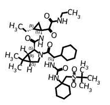 CCNC(=O)C(=O)[C@]1(NC(=O)[C@@H]2[C@@H]3[C@H](CN2C(=O)[C@@H](NC(=O)NC2(CS(=O)(=O)C(C)(C)C)CCCCC2)C2CCCCC2)C3(C)C)C[C@H]1CC